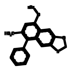 CCCCOc1cc(C(=O)O)c(-c2ccccc2)c2cc3c(cc12)OCS3